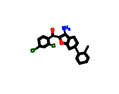 Cc1ccccc1-c1ccc2c(N)c(C(=O)c3ccc(Cl)cc3Cl)oc2c1